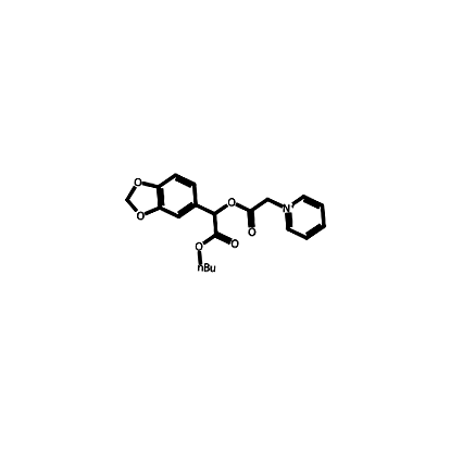 CCCCOC(=O)C(OC(=O)C[n+]1ccccc1)c1ccc2c(c1)OCO2